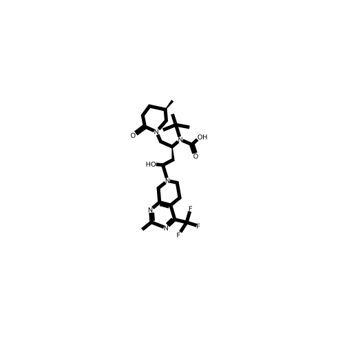 Cc1nc2c(c(C(F)(F)F)n1)CCN(C(O)C[C@@H](CN1C[C@H](C)CCC1=O)N(C(=O)O)C(C)(C)C)C2